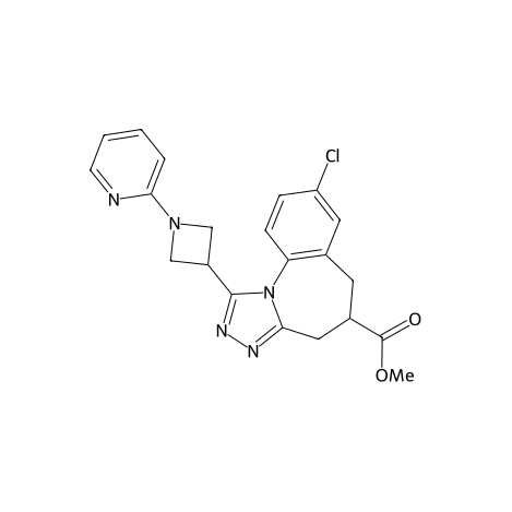 COC(=O)C1Cc2cc(Cl)ccc2-n2c(nnc2C2CN(c3ccccn3)C2)C1